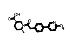 COc1ccc(-c2ccc(CC(=O)N3C[C@H](C(=O)O)CC[C@@H]3C)cc2)cn1